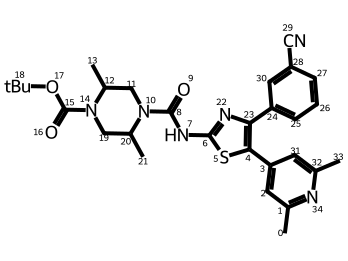 Cc1cc(-c2sc(NC(=O)N3CC(C)N(C(=O)OC(C)(C)C)CC3C)nc2-c2cccc(C#N)c2)cc(C)n1